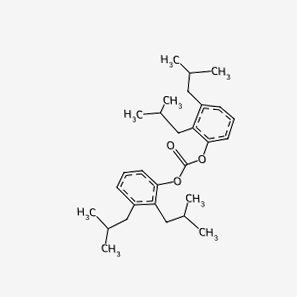 CC(C)Cc1cccc(OC(=O)Oc2cccc(CC(C)C)c2CC(C)C)c1CC(C)C